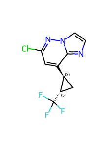 FC(F)(F)[C@H]1C[C@@H]1c1cc(Cl)nn2ccnc12